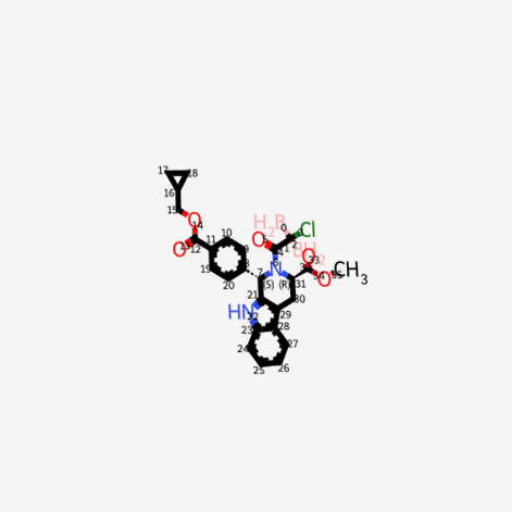 BC(B)(Cl)C(=O)N1[C@@H](c2ccc(C(=O)OCC3CC3)cc2)c2[nH]c3ccccc3c2C[C@@H]1C(=O)OC